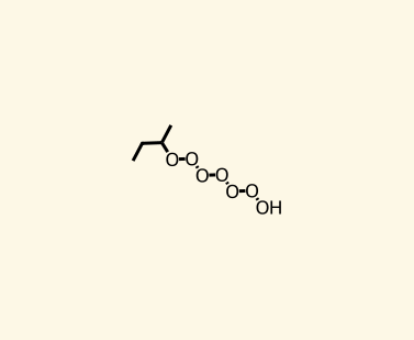 CCC(C)OOOOOOO